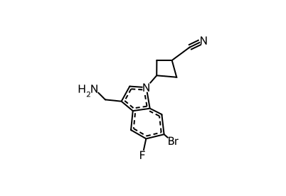 N#CC1CC(n2cc(CN)c3cc(F)c(Br)cc32)C1